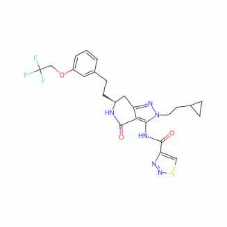 O=C(Nc1c2c(nn1CCC1CC1)C[C@H](CCc1cccc(OCC(F)(F)F)c1)NC2=O)c1csnn1